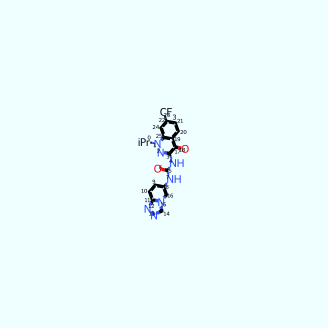 CC(C)n1nc(NC(=O)Nc2ccc3nncn3c2)c(=O)c2ccc(C(F)(F)F)cc21